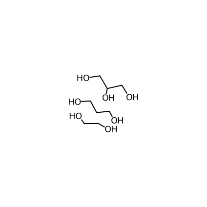 OCC(O)CO.OCCCO.OCCO